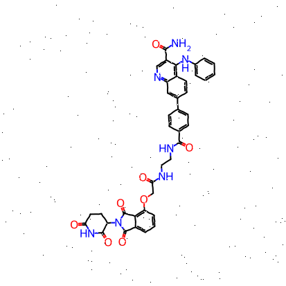 NC(=O)c1cnc2cc(-c3ccc(C(=O)NCCNC(=O)COc4cccc5c4C(=O)N(C4CCC(=O)NC4=O)C5=O)cc3)ccc2c1Nc1ccccc1